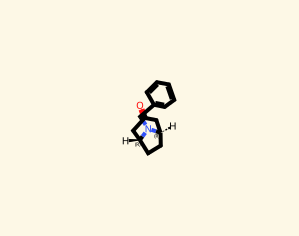 O=C1C[C@H]2CC[C@H](C1)N2Cc1ccccc1